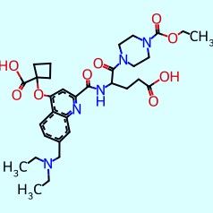 CCOC(=O)N1CCN(C(=O)C(CCC(=O)O)NC(=O)c2cc(OC3(C(=O)O)CCC3)c3ccc(CN(CC)CC)cc3n2)CC1